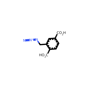 [N-]=[N+]=NCc1cc(C(=O)O)ccc1C(=O)O